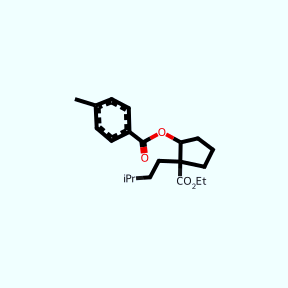 CCOC(=O)C1(CCC(C)C)CCCC1OC(=O)c1ccc(C)cc1